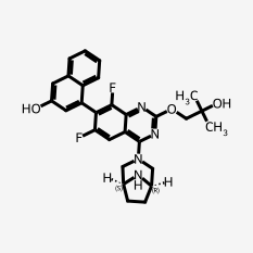 CC(C)(O)COc1nc(N2C[C@H]3CC[C@@H](C2)N3)c2cc(F)c(-c3cc(O)cc4ccccc34)c(F)c2n1